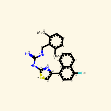 COc1cccc(OC)c1CNC(=N)Nc1nc(-c2ccc(F)c3ccccc23)cs1